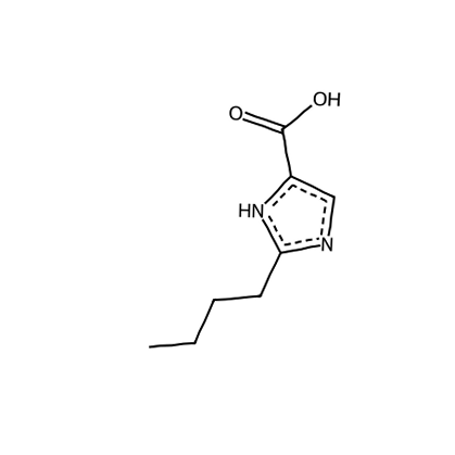 CCCCc1ncc(C(=O)O)[nH]1